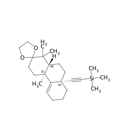 CC1(C)[C@@H]2CC[C@@]3(C#C[Si](C)(C)C)CCCC=C3[C@@]2(C)CCC12OCCO2